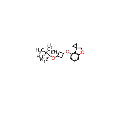 CC(C)(C)[Si](C)(C)O[C@H]1C[C@H](Oc2cccc3c2C2(CC2)CO3)C1